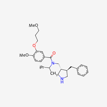 COCCCOc1cc(C(=O)N(C[C@H]2CNC[C@@H]2Cc2ccccc2)C(C)C(C)C)ccc1OC